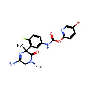 CN1CC(N)=NC(C)(c2cc(NC(=O)Oc3ccc(Br)cn3)ccc2F)C1=O